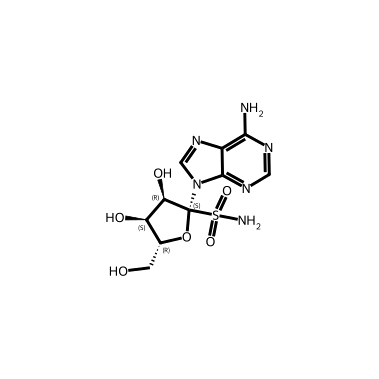 Nc1ncnc2c1ncn2[C@]1(S(N)(=O)=O)O[C@H](CO)[C@@H](O)[C@H]1O